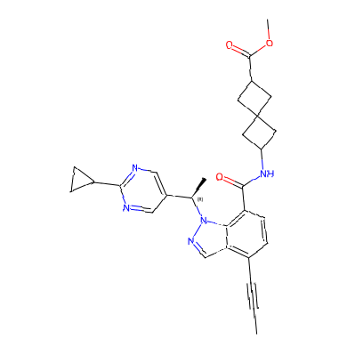 CC#Cc1ccc(C(=O)NC2CC3(C2)CC(C(=O)OC)C3)c2c1cnn2[C@H](C)c1cnc(C2CC2)nc1